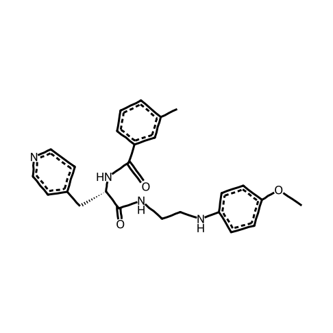 COc1ccc(NCCNC(=O)[C@H](Cc2ccncc2)NC(=O)c2cccc(C)c2)cc1